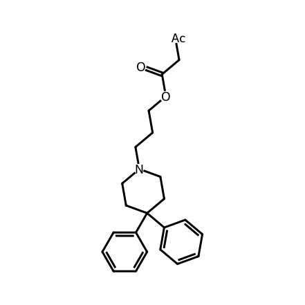 CC(=O)CC(=O)OCCCN1CCC(c2ccccc2)(c2ccccc2)CC1